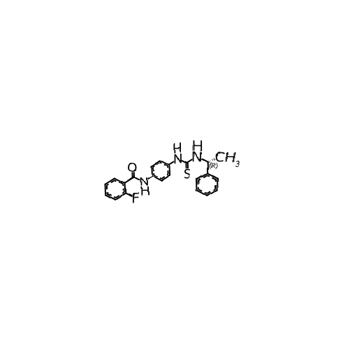 C[C@@H](NC(=S)Nc1ccc(NC(=O)c2ccccc2F)cc1)c1ccccc1